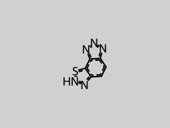 c1cc2n[nH]sc2c2nnnc12